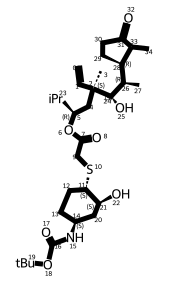 C=C[C@](C)(C[C@@H](OC(=O)CS[C@H]1CC[C@H](NC(=O)OC(C)(C)C)C[C@@H]1O)C(C)C)[C@@H](O)[C@H](C)[C@H]1CCC(=O)C1C